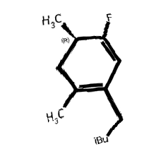 CCC(C)CC1=C(C)C[C@@H](C)C(F)=C1